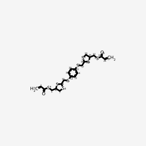 C=CC(=O)SCC1CSC(CSc2ccc(SCC3SCC(CSC(=O)C=C)S3)cc2)S1